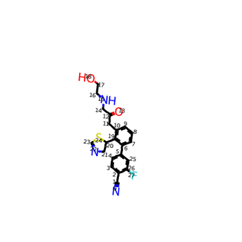 N#Cc1ccc(-c2cccc(CC(=O)CNCCO)c2C2CN=CS2)cc1F